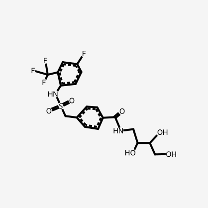 O=C(NCC(O)C(O)CO)c1ccc(CS(=O)(=O)Nc2ccc(F)cc2C(F)(F)F)cc1